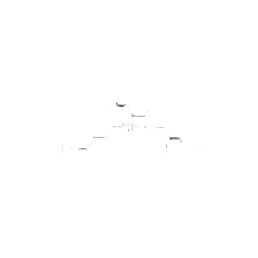 C=C(O)CSCC([C]=O)NCCCCC